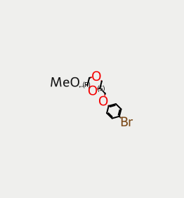 COC[C@@H]1COC[C@@H](COc2ccc(Br)cc2)O1